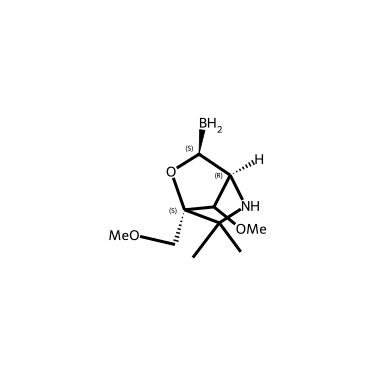 B[C@@H]1O[C@@]2(COC)C(OC)[C@@H]1NC2(C)C